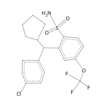 NS(=O)(=O)c1ccc(OC(F)(F)F)cc1C(c1ccc(Cl)cc1)C1CCCC1